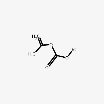 C=C(C)OC(=O)OCC